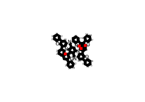 N#Cc1c(-c2cccc3c2oc2ccccc23)c(-n2c3ccccc3c3c4oc5ccccc5c4ccc32)c(C#N)c(-n2c3ccccc3c3c4c(ccc32)oc2ccccc24)c1-n1c2ccccc2c2c3oc4ccccc4c3ccc21